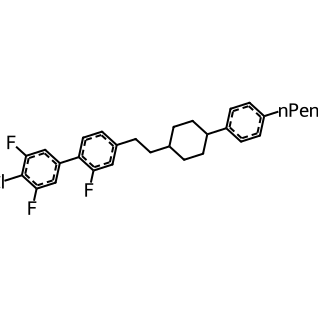 CCCCCc1ccc(C2CCC(CCc3ccc(-c4cc(F)c(Cl)c(F)c4)c(F)c3)CC2)cc1